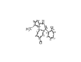 Cc1nnc2n1-c1ccc(Cl)cc1C(c1ccccc1Cl)=NN2